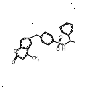 CC(NS(=O)(=O)c1ccc(Cc2ccc3oc(=O)cc(C(F)(F)F)c3c2)cc1)c1ccccc1